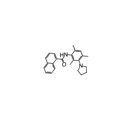 Cc1cc(C)c(N2CCCC2)c(C)c1NC(=O)c1cccc2ccccc12